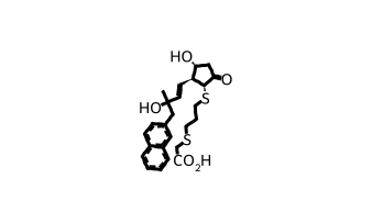 CC(O)(C=C[C@H]1[C@H](O)CC(=O)[C@@H]1SCCCSCC(=O)O)Cc1ccc2ccccc2c1